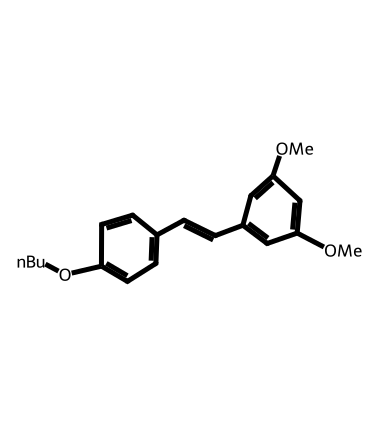 CCCCOc1ccc(/C=C/c2cc(OC)cc(OC)c2)cc1